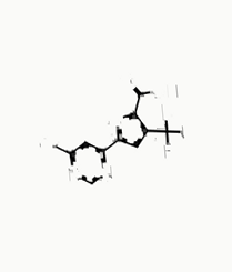 O=C(O)c1sc(-c2cc(Cl)ncn2)cc1C(F)(F)F